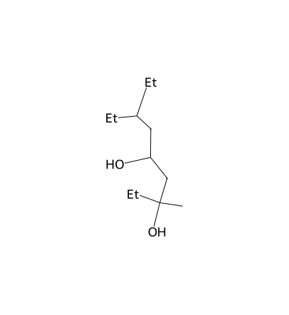 CCC(CC)CC(O)CC(C)(O)CC